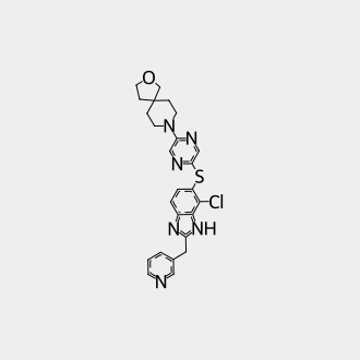 Clc1c(Sc2cnc(N3CCC4(CCOC4)CC3)cn2)ccc2nc(Cc3cccnc3)[nH]c12